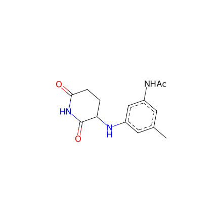 CC(=O)Nc1cc(C)cc(NC2CCC(=O)NC2=O)c1